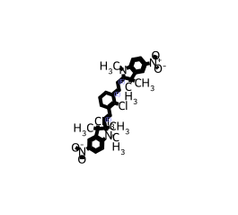 CN1/C(=C/C=C2\CCCC(/C=C/C3(C)N(C)c4ccc([N+](=O)[O-])cc4C3(C)C)=C2Cl)C(C)(C)c2cc([N+](=O)[O-])ccc21